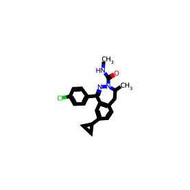 CNC(=O)N1N=C(c2ccc(Cl)cc2)c2cc(C3CC3)ccc2CC1C